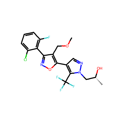 COCc1c(-c2c(F)cccc2Cl)noc1-c1cnn(C[C@@H](C)O)c1C(F)(F)F